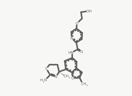 Cc1cc2cc(NC(=O)c3ccc(OCCO)cn3)cc([C@]3(C)CCSC(N)=N3)c2o1